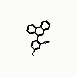 C=Bc1cc(Cl)ccc1-c1cc2ccccc2c2ccccc12